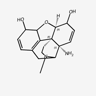 CN1CC[C@]23C4=C5C=CC(O)C4O[C@H]2C(O)C=C[C@@]3(N)C1C5